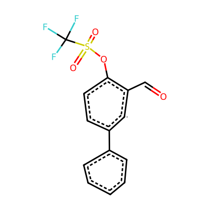 O=Cc1[c]c(-c2ccccc2)ccc1OS(=O)(=O)C(F)(F)F